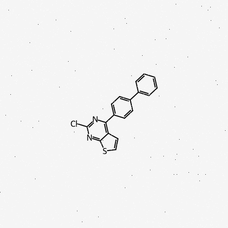 Clc1nc(-c2ccc(-c3ccccc3)cc2)c2ccsc2n1